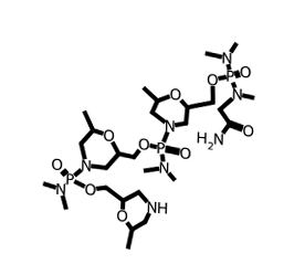 CC1CNCC(COP(=O)(N(C)C)N2CC(C)OC(COP(=O)(N(C)C)N3CC(C)OC(COP(=O)(N(C)C)N(C)CC(N)=O)C3)C2)O1